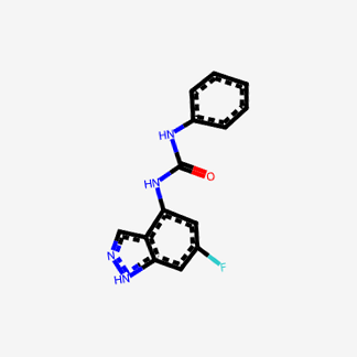 O=C(Nc1ccccc1)Nc1cc(F)cc2[nH]ncc12